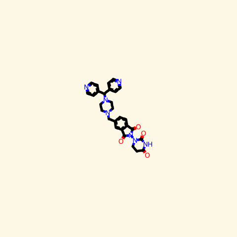 O=C1CCN(N2C(=O)c3ccc(CN4CCN(C(c5ccncc5)c5ccncc5)CC4)cc3C2=O)C(=O)N1